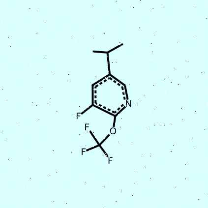 CC(C)c1cnc(OC(F)(F)F)c(F)c1